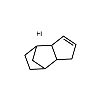 C1=CC2C3CCC(C3)C2C1.I